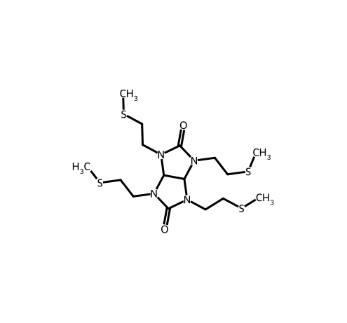 CSCCN1C(=O)N(CCSC)C2C1N(CCSC)C(=O)N2CCSC